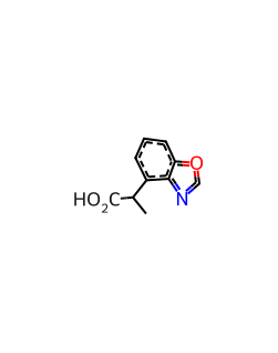 CC(C(=O)O)c1cccc2ocnc12